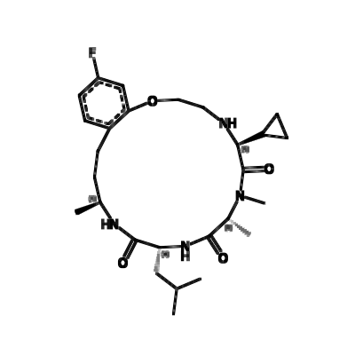 CC(C)C[C@H]1NC(=O)[C@@H](C)N(C)C(=O)[C@H](C2CC2)NCCOc2cc(F)ccc2CC[C@H](C)NC1=O